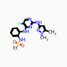 CCS(=O)(=O)Nc1ccccc1Nc1nc(Nc2cc(C)n(C)n2)ncc1F